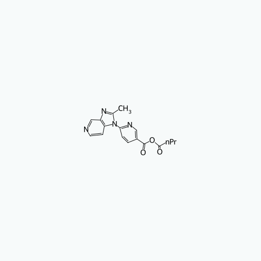 CCCC(=O)OC(=O)c1ccc(-n2c(C)nc3cnccc32)nc1